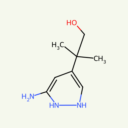 CC(C)(CO)C1=CNNC(N)=C1